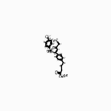 COC(=O)CCCc1ccc(C(CCCC(C)C)NS(=O)(=O)c2ccc(Cl)cc2)cc1